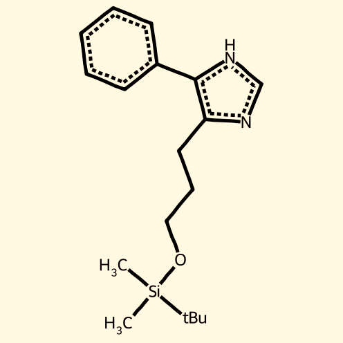 CC(C)(C)[Si](C)(C)OCCCc1nc[nH]c1-c1ccccc1